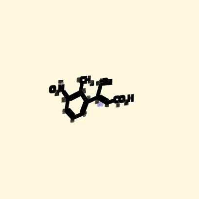 Cc1c(/C(=C/C(=O)O)C(C)(C)C)cccc1[N+](=O)[O-]